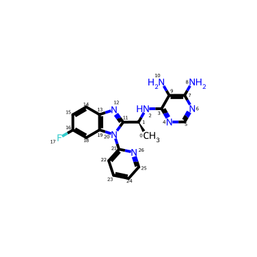 C[C@H](Nc1ncnc(N)c1N)c1nc2ccc(F)cc2n1-c1ccccn1